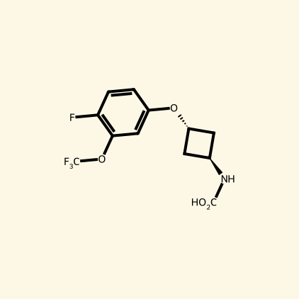 O=C(O)N[C@H]1C[C@H](Oc2ccc(F)c(OC(F)(F)F)c2)C1